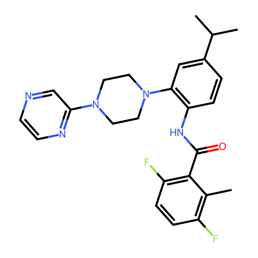 Cc1c(F)ccc(F)c1C(=O)Nc1ccc(C(C)C)cc1N1CCN(c2cnccn2)CC1